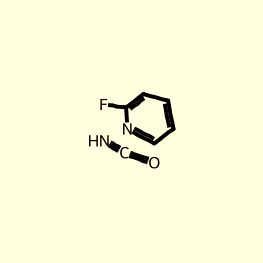 Fc1ccccn1.N=C=O